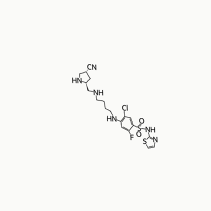 N#C[C@H]1CN[C@H](CNCCCCNc2cc(F)c(S(=O)(=O)Nc3nccs3)cc2Cl)C1